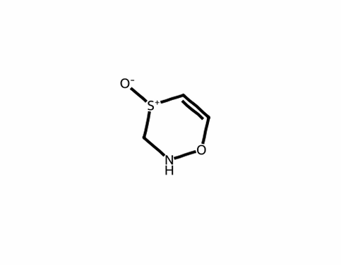 [O-][S+]1C=CONC1